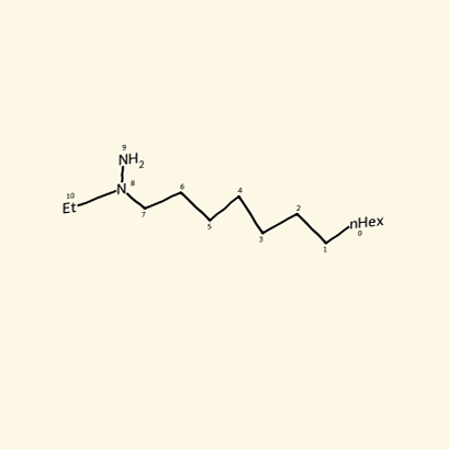 CCCCCCCCCCCCCN(N)CC